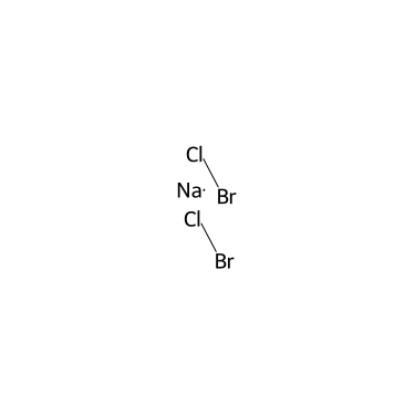 ClBr.ClBr.[Na]